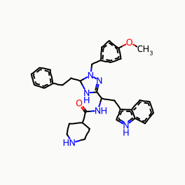 COc1ccc(CN2N=C(C(Cc3c[nH]c4ccccc34)NC(=O)C3CCNCC3)NC2CCc2ccccc2)cc1